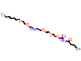 C#CCCC(=O)NC(=O)COCCOCCOCCNCCOCCOCCCCCCCl